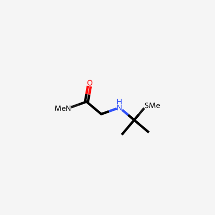 CNC(=O)CNC(C)(C)SC